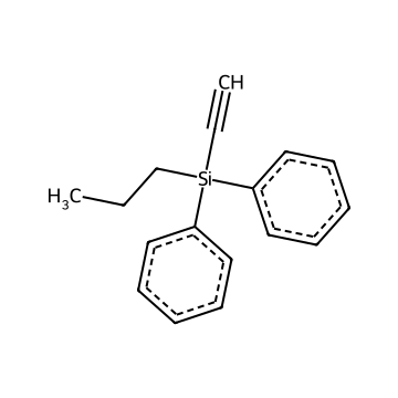 C#C[Si](CCC)(c1ccccc1)c1ccccc1